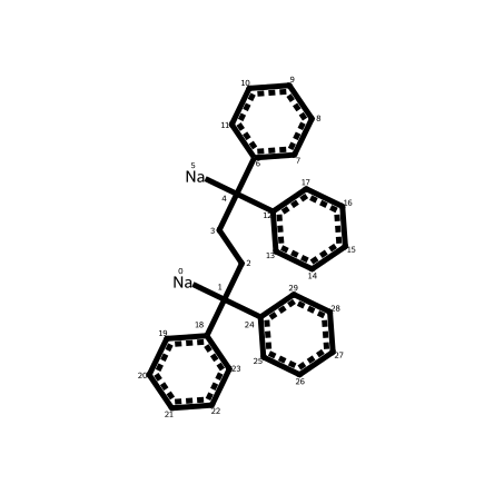 [Na][C](CC[C]([Na])(c1ccccc1)c1ccccc1)(c1ccccc1)c1ccccc1